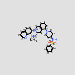 CN(C[C@H]1Cc2c(cccc2N2CCC(NS(=O)(=O)c3ccccc3)CC2)CN1)[C@H]1CCCc2cccnc21